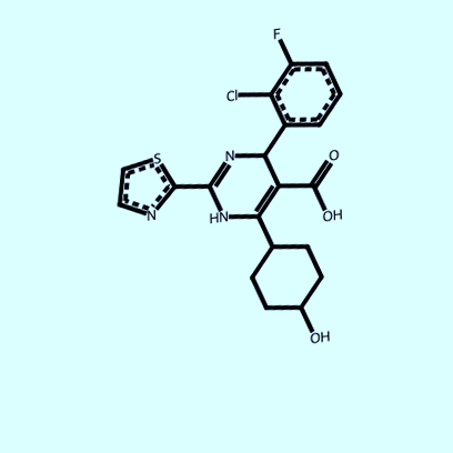 O=C(O)C1=C(C2CCC(O)CC2)NC(c2nccs2)=NC1c1cccc(F)c1Cl